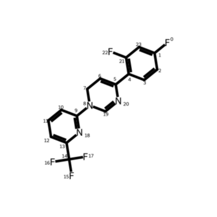 Fc1ccc(C2=CCN(c3cccc(C(F)(F)F)n3)C=N2)c(F)c1